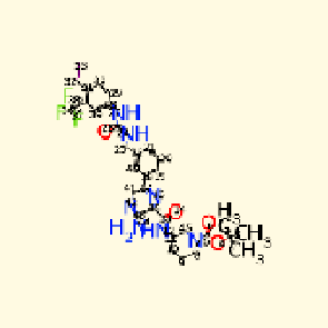 CC(C)(C)OC(=O)N1CCCC(NC(=O)c2nc(-c3cccc(CNC(=O)Nc4ccc(CI)c(C(F)(F)F)c4)c3)cnc2N)C1